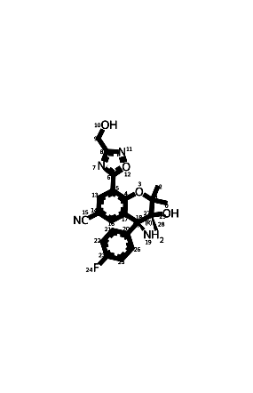 CC1(C)Oc2c(-c3nc(CO)no3)cc(C#N)cc2[C@@](N)(c2ccc(F)cc2)[C@@]1(C)O